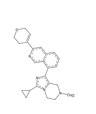 O=CN1CCn2c(C3CC3)nc(-c3cccc4cc(C5=CCOCC5)ncc34)c2C1